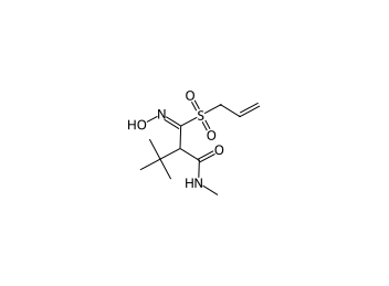 C=CCS(=O)(=O)C(=NO)C(C(=O)NC)C(C)(C)C